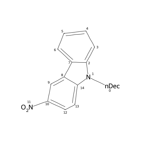 CCCCCCCCCCn1c2ccccc2c2cc([N+](=O)[O-])ccc21